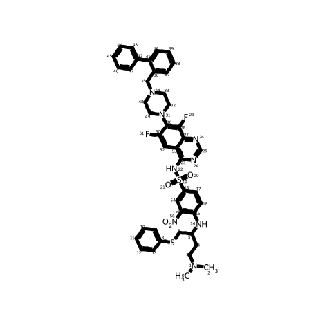 CN(C)CCC(CSc1ccccc1)Nc1ccc(S(=O)(=O)Nc2ncnc3c(F)c(N4CCN(Cc5ccccc5-c5ccccc5)CC4)c(F)cc23)cc1[N+](=O)[O-]